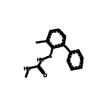 CNC(=O)NSc1c(C)cccc1-c1ccccc1